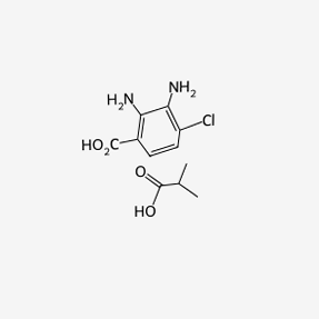 CC(C)C(=O)O.Nc1c(Cl)ccc(C(=O)O)c1N